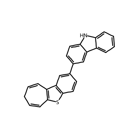 C1=Cc2sc3ccc(-c4ccc5[nH]c6ccccc6c5c4)cc3c2C=CC1